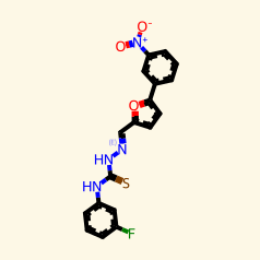 O=[N+]([O-])c1cccc(-c2ccc(/C=N/NC(=S)Nc3cccc(F)c3)o2)c1